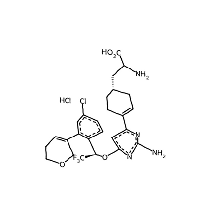 Cl.Nc1nc(O[C@H](c2ccc(Cl)cc2C2=CCCOC2)C(F)(F)F)cc(C2=CC[C@@H](CC(N)C(=O)O)CC2)n1